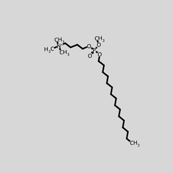 CCCCCCCCCCCCCCCCOP(=O)(OC)OCCCC[N+](C)(C)C